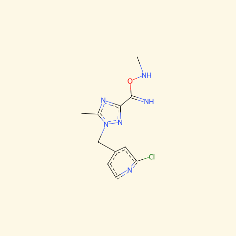 CNOC(=N)c1nc(C)n(Cc2ccnc(Cl)c2)n1